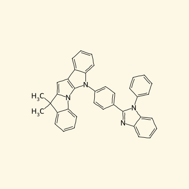 CC1(C)c2ccccc2-n2c1cc1c3ccccc3n(-c3ccc(-c4nc5ccccc5n4-c4ccccc4)cc3)c12